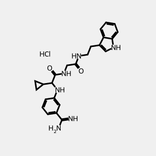 Cl.N=C(N)c1cccc(NC(C(=O)NCC(=O)NCCc2c[nH]c3ccccc23)C2CC2)c1